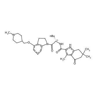 CCCC[C@H](NC(=O)c1[nH]c2c(c1C)C(=O)CC(C)(C)C2)C(=O)N1CCc2c(OCC3CCN(C)CC3)cccc21